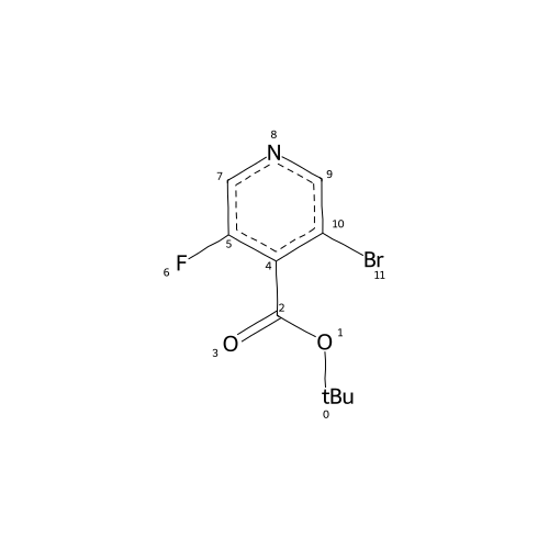 CC(C)(C)OC(=O)c1c(F)cncc1Br